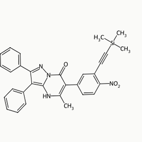 Cc1[nH]c2c(-c3ccccc3)c(-c3ccccc3)nn2c(=O)c1-c1ccc([N+](=O)[O-])c(C#C[Si](C)(C)C)c1